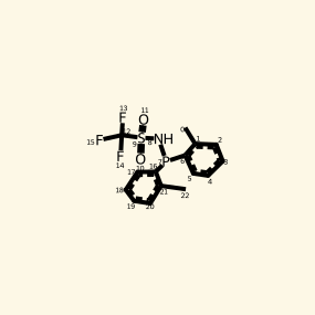 Cc1ccccc1P(NS(=O)(=O)C(F)(F)F)c1ccccc1C